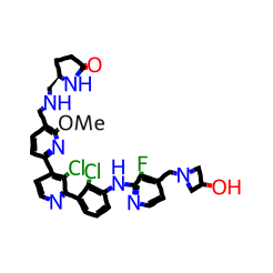 COc1nc(-c2ccnc(-c3cccc(Nc4nccc(CN5CC(O)C5)c4F)c3Cl)c2Cl)ccc1CNC[C@H]1CCC(=O)N1